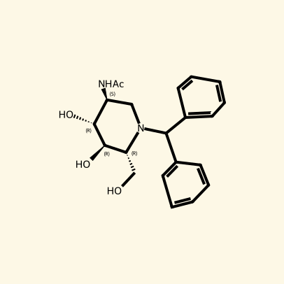 CC(=O)N[C@H]1CN(C(c2ccccc2)c2ccccc2)[C@H](CO)[C@@H](O)[C@@H]1O